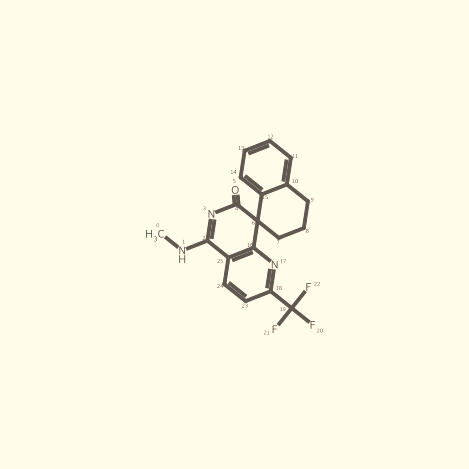 CNC1=NC(=O)C2(CCCc3ccccc32)c2nc(C(F)(F)F)ccc21